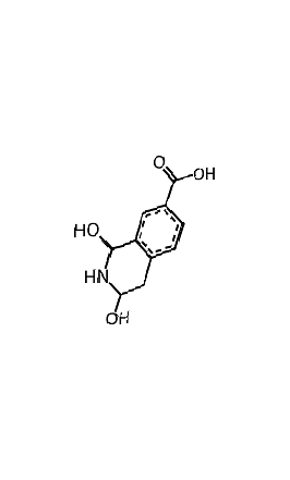 O=C(O)c1ccc2c(c1)C(O)NC(O)C2